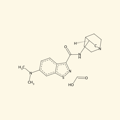 CN(C)c1ccc2c(C(=O)N[C@@H]3CN4CCC3CC4)nsc2c1.O=CO